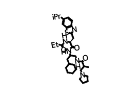 CCC(=O)N[C@@H](Cc1nc2ccc(C(C)C)cc2s1)C(=O)NC(CNC(=O)C(C)CN1CCCC1)CC1CCCCC1